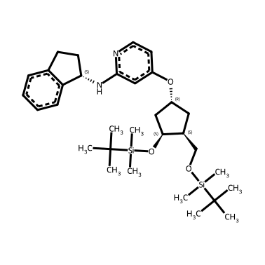 CC(C)(C)[Si](C)(C)OC[C@@H]1C[C@@H](Oc2ccnc(N[C@H]3CCc4ccccc43)c2)C[C@@H]1O[Si](C)(C)C(C)(C)C